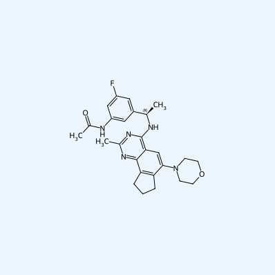 CC(=O)Nc1cc(F)cc([C@@H](C)Nc2nc(C)nc3c4c(c(N5CCOCC5)cc23)CCC4)c1